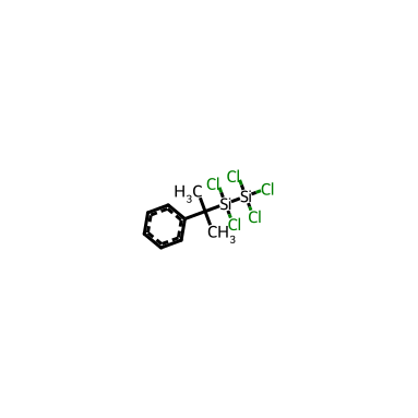 CC(C)(c1ccccc1)[Si](Cl)(Cl)[Si](Cl)(Cl)Cl